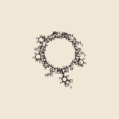 CCCOC[C@H]1C(=O)NC2(CCCC2)C(=O)N(C)[C@@H](C2CCCCC2)C(=O)N(C)[C@H](C(=O)N2CCCCC2)CC(=O)N(C)[C@@H](CC(C)C)C(=O)N[C@@H]([C@@H](C)CC)C(=O)N(C)CC(=O)N(C)CC(=O)N(C)[C@@H](CC2CCCCC2)C(=O)N(C)CC(=O)N[C@@H](CCc2ccc(C(F)(F)F)c(Cl)c2)C(=O)N1C